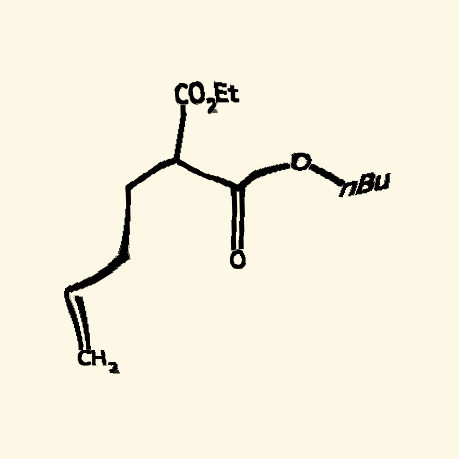 C=CCCC(C(=O)OCC)C(=O)OCCCC